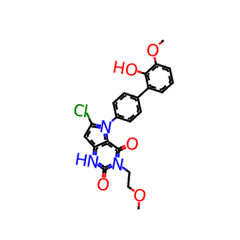 COCCn1c(=O)[nH]c2cc(Cl)n(-c3ccc(-c4cccc(OC)c4O)cc3)c2c1=O